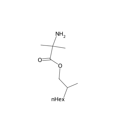 CCCCCCC(C)COC(=O)C(C)(C)N